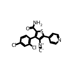 [C-]#[N+]c1c(-c2ccncc2)sc(C(N)=O)c1-c1ccc(Cl)cc1Cl